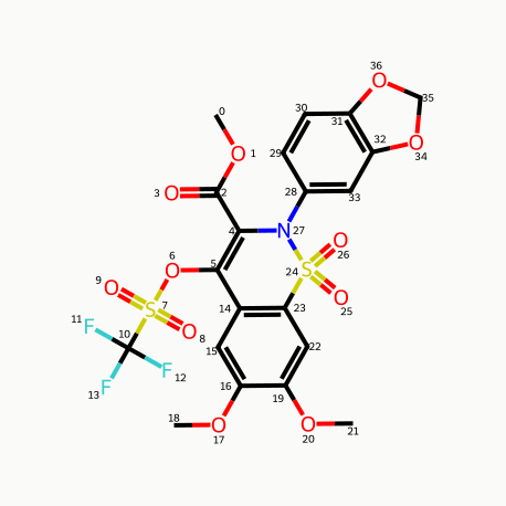 COC(=O)C1=C(OS(=O)(=O)C(F)(F)F)c2cc(OC)c(OC)cc2S(=O)(=O)N1c1ccc2c(c1)OCO2